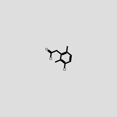 Cc1ccc(Cl)c(C)c1CC(=O)Cl